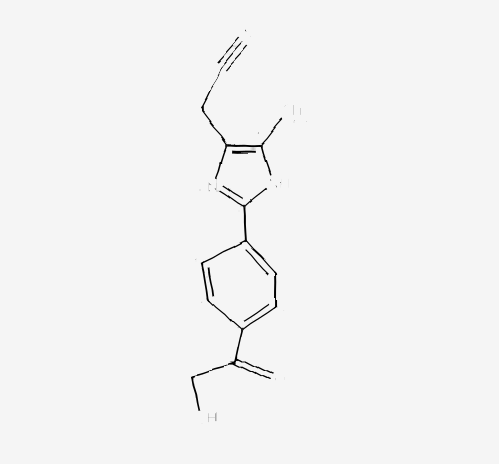 CCC(=O)c1ccc(-c2nc(CC#N)c(C)[nH]2)cc1